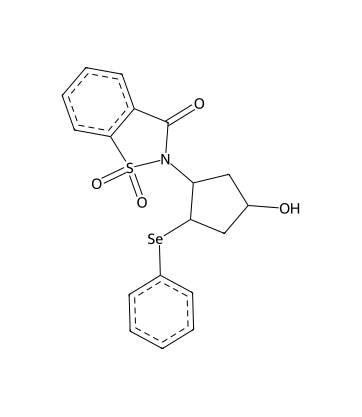 O=C1c2ccccc2S(=O)(=O)N1C1CC(O)CC1[Se]c1ccccc1